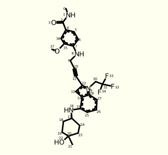 CNC(=O)c1ccc(NCC#Cc2cc3c(NC4CCC(C)(O)CC4)cccc3n2CC(F)(F)F)c(OC)c1